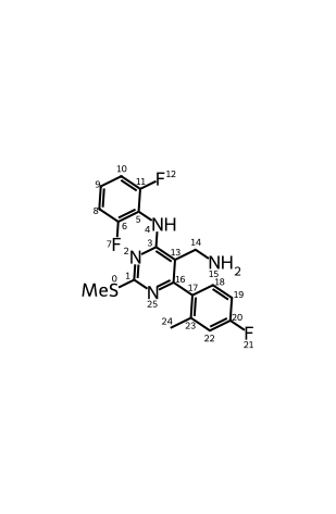 CSc1nc(Nc2c(F)cccc2F)c(CN)c(-c2ccc(F)cc2C)n1